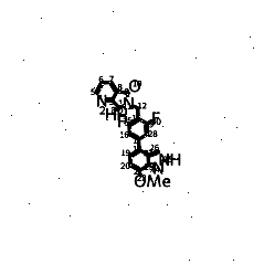 [2H]C1([2H])c2ncccc2C(=O)N1Cc1c(F)cc(-c2ccc(OC)c3n[nH]cc23)cc1F